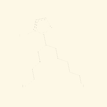 CCCCCCC(CCCCC)c1nccn1C